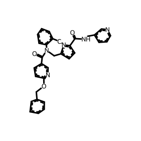 O=C(NCc1cccnc1)c1ccc2n1Cc1ccccc1N(C(=O)c1ccc(OCc3ccccc3)nc1)C2